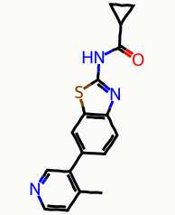 Cc1ccncc1-c1ccc2nc(NC(=O)C3CC3)sc2c1